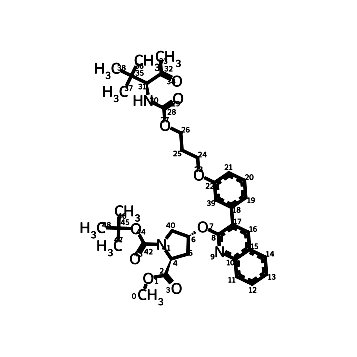 COC(=O)[C@@H]1C[C@@H](Oc2nc3ccccc3cc2-c2cccc(OCCCOC(=O)N[C@H](C(C)=O)C(C)(C)C)c2)CN1C(=O)OC(C)(C)C